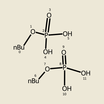 CCCCOP(=O)(O)O.CCCCOP(=O)(O)O